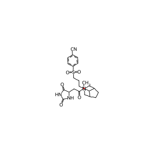 CN(C(=O)CC1NC(=O)NC1=O)C1C2CCC1CN(CCCS(=O)(=O)c1ccc(C#N)cc1)C2